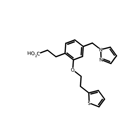 O=C(O)CCc1ccc(Cn2cccn2)cc1OCCc1cccs1